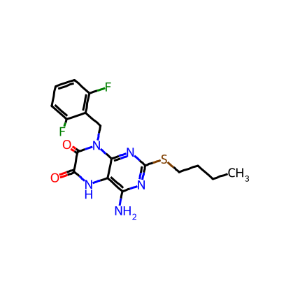 CCCCSc1nc(N)c2[nH]c(=O)c(=O)n(Cc3c(F)cccc3F)c2n1